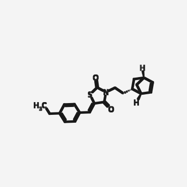 CCc1ccc(/C=C2\SC(=O)N(CC[C@@H]3C[C@@H]4C=C[C@H]3C4)C2=O)cc1